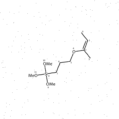 C/C=C(/C)OCCC[Si](OC)(OC)OC